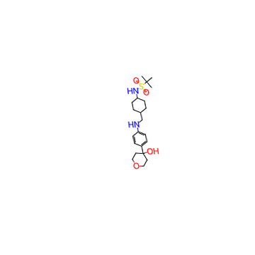 CC(C)(C)S(=O)(=O)NC1CCC(CNc2ccc(C3(O)CCOCC3)cc2)CC1